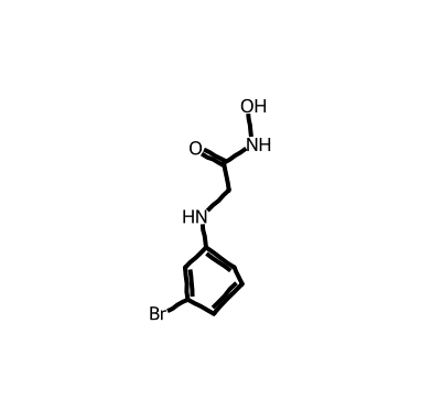 O=C(CNc1cccc(Br)c1)NO